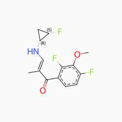 COc1c(F)ccc(C(=O)C(C)=CN[C@@H]2C[C@@H]2F)c1F